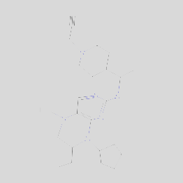 C#CCN1CCC(C(C)Nc2ncc3c(n2)N(C2CCCC2)C(CC)CN3C)CC1